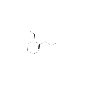 CCCC1=NCCCN1CC